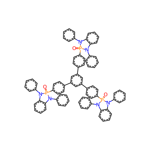 O=P1(c2ccc(-c3cc(-c4ccc(P5(=O)N(c6ccccc6)c6ccccc6N5c5ccccc5)cc4)cc(-c4ccc(P5(=O)N(c6ccccc6)c6ccccc6N5c5ccccc5)cc4)c3)cc2)N(c2ccccc2)c2ccccc2N1c1ccccc1